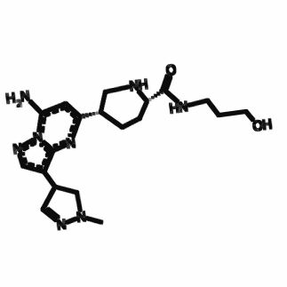 CN1CC(c2cnn3c(N)cc([C@H]4CC[C@@H](C(=O)NCCCO)NC4)nc23)C=N1